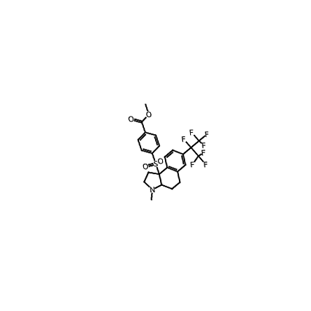 COC(=O)c1ccc(S(=O)(=O)C23CCN(C)C2CCc2cc(C(F)(C(F)(F)F)C(F)(F)F)ccc23)cc1